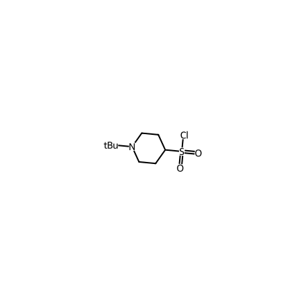 CC(C)(C)N1CCC(S(=O)(=O)Cl)CC1